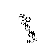 O=C(O)c1ccc(N2CCN(C(=O)c3ccccc3OC(F)(F)F)CC2)nn1